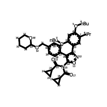 CCCCOc1cc(OCCCC)c(C(C)C)cc1-c1noc(N(C(=O)C2CC2)C(=O)C2CC2)c1-c1ccc(COC2CCCCO2)cc1